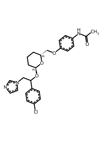 CC(=O)Nc1ccc(OC[C@H]2CCC[C@H](OC(Cn3ccnc3)c3ccc(Cl)cc3)O2)cc1